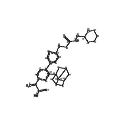 C=C(C(=O)O)c1ccc(-c2ccc(OCC(=O)NOC3CCCCO3)cc2)c(C23CC4CC(CC(C4)C2)C3)c1